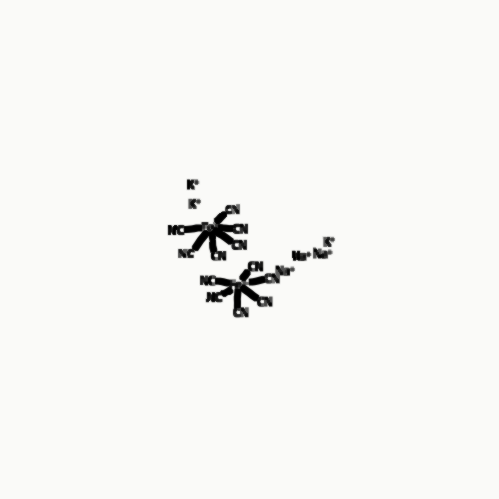 N#[C][Fe-3]([C]#N)([C]#N)([C]#N)([C]#N)[C]#N.N#[C][Fe-3]([C]#N)([C]#N)([C]#N)([C]#N)[C]#N.[K+].[K+].[K+].[Na+].[Na+].[Na+]